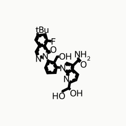 CC(C)(C)c1cc(F)c2c(=O)n(-c3cccc(-n4cc(C(N)=O)c5ccc(C(O)CO)nc54)c3CO)ncc2c1